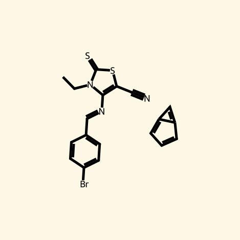 CCn1c(N=Cc2ccc(Br)cc2)c(C#N)sc1=S.c1cc2cc-2c1